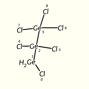 [Cl][GeH2][Ge]([Cl])([Cl])[Ge]([Cl])([Cl])[Cl]